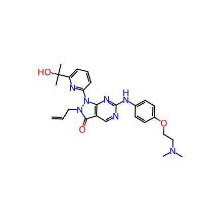 C=CCn1c(=O)c2cnc(Nc3ccc(OCCN(C)C)cc3)nc2n1-c1cccc(C(C)(C)O)n1